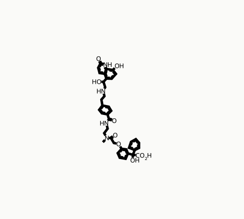 CN(CCNC(=O)c1ccc(CCNCC(O)c2ccc(O)c3[nH]c(=O)ccc23)cc1)C(=O)COc1cccc(C(O)(C(=O)O)c2ccccc2)c1